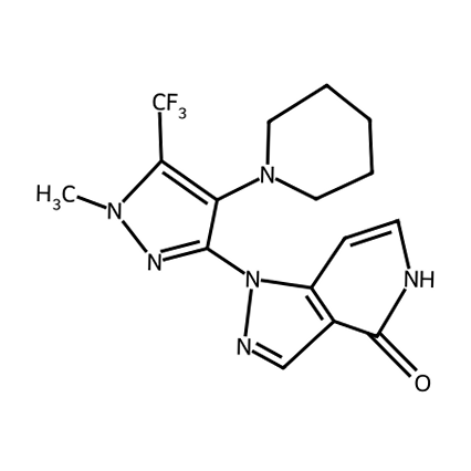 Cn1nc(-n2ncc3c(=O)[nH]ccc32)c(N2CCCCC2)c1C(F)(F)F